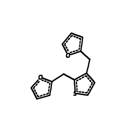 c1coc(Cc2ccsc2Cc2ccco2)c1